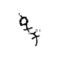 CCC(C)(C)C(O)OC(C)(C)c1ccc(F)cc1